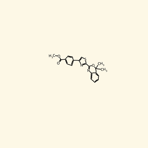 COC(=O)c1ccc(-c2csc(C3=Nc4ccccc4C(C)(C)O3)n2)cc1